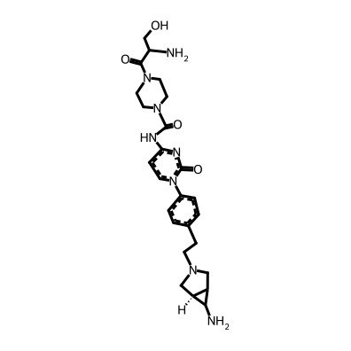 NC(CO)C(=O)N1CCN(C(=O)Nc2ccn(-c3ccc(CCN4CC5C(N)[C@H]5C4)cc3)c(=O)n2)CC1